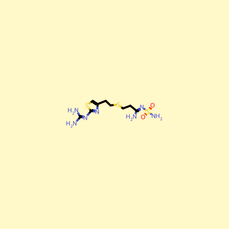 NC(N)=Nc1nc(CCSCC/C(N)=N/S(N)(=O)=O)cs1